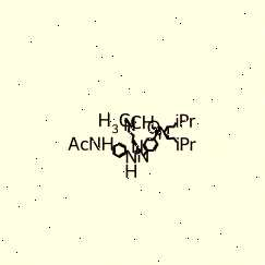 CC(=O)Nc1ccc(Nc2nc3ccc(C(=O)N(CCC(C)C)CCC(C)C)cc3n2CCCN(C)C)cc1